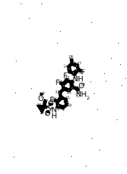 COCC1(S(=O)(=O)Nc2cccc(Cc3cc(C(N)=O)c(Nc4ccc(C)cc4F)c(F)c3F)c2F)CC1